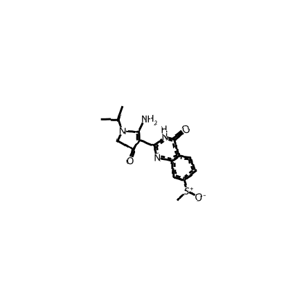 CC(C)N1CC(=O)C(c2nc3cc([S+](C)[O-])ccc3c(=O)[nH]2)=C1N